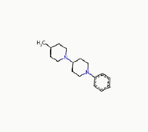 CC1CCN(C2CCN(c3cc[c]cc3)CC2)CC1